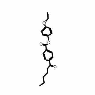 CCCCCC(=O)c1ccc(C(=O)Oc2ccc(OCC)cc2)cc1